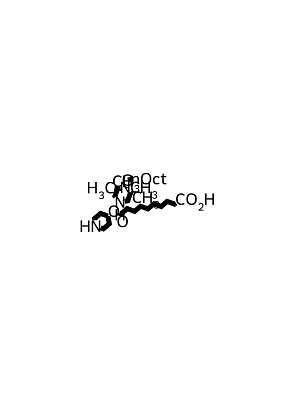 CCCCCCCCON1C(C)(C)CNCC1(C)C.O=C(O)CCCCCCCCC(=O)OC1CCNCC1